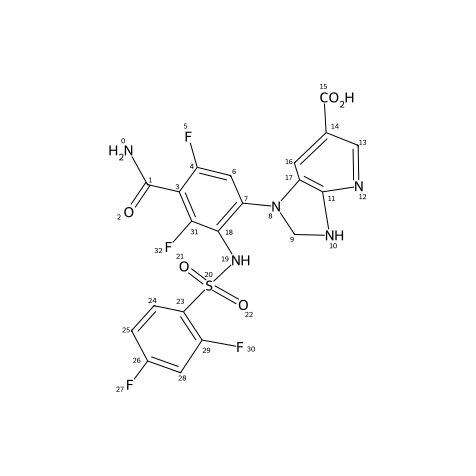 NC(=O)c1c(F)cc(N2CNc3ncc(C(=O)O)cc32)c(NS(=O)(=O)c2ccc(F)cc2F)c1F